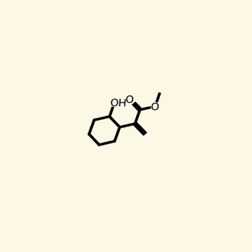 C=C(C(=O)OC)C1CCCCC1O